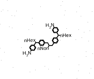 CCCCCCCCCC(Cc1ccc(C(CCCCCC)c2ccc(N)cc2)cc1)Cc1ccc(C(CCCCCC)c2ccc(N)cc2)cc1